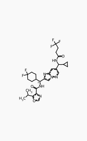 CC(C)c1ocnc1C(=O)N[C@H](c1cn2ncc(C(NC(=O)CCC(F)(F)F)C3CC3)cc2n1)C1CCC(F)(F)CC1